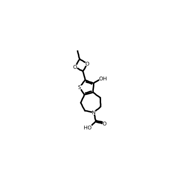 CC1OC(c2sc3c(c2O)CCN(C(=O)O)CC3)O1